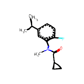 CC(C)c1ccc(F)c(N(C)C(=O)C2CC2)c1